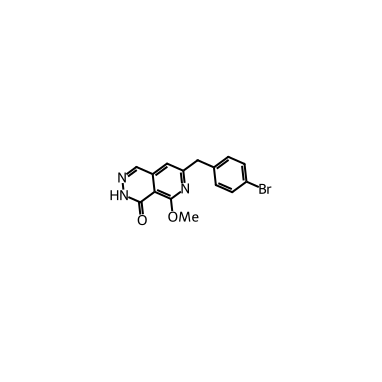 COc1nc(Cc2ccc(Br)cc2)cc2cn[nH]c(=O)c12